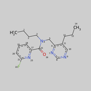 CCCCN(Cc1ncncc1CCC)C(=O)c1cccc(F)n1